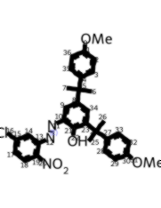 COc1ccc(C(C)(C)c2cc(/N=N/c3cc(Cl)ccc3[N+](=O)[O-])c(O)c(C(C)(C)c3ccc(OC)cc3)c2)cc1